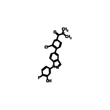 CN(C)C(=O)c1ccc(-c2ccc3c(cnn3-c3ccc(F)c(O)c3)c2)c(Cl)c1